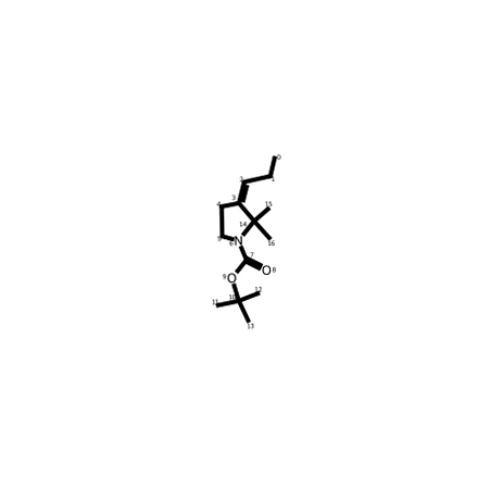 CC/C=C1/CCN(C(=O)OC(C)(C)C)C1(C)C